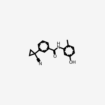 Cc1ccc(O)cc1NC(=O)c1cccc(C2(C#N)CC2)c1